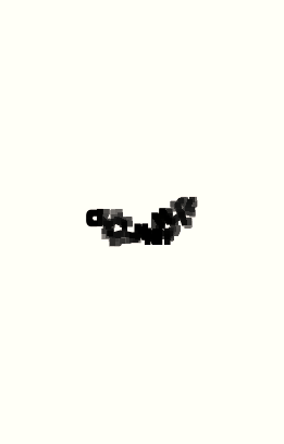 CCC(C)(CC)c1ccc(NN=Cc2ccc(Cl)cc2)nn1